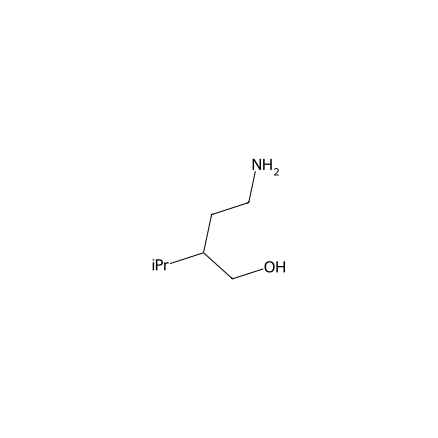 CC(C)C(CO)CCN